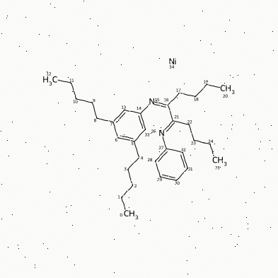 CCCCCc1cc(CCCCC)cc(N=C(CCCC)C(CCCC)=Nc2ccccc2)c1.[Ni]